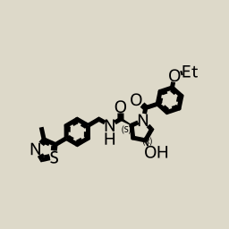 CCOc1cccc(C(=O)N2C[C@H](O)C[C@H]2C(=O)NCc2ccc(-c3scnc3C)cc2)c1